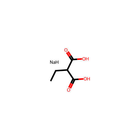 CCC(C(=O)O)C(=O)O.[NaH]